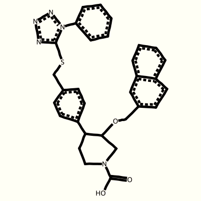 O=C(O)N1CCC(c2ccc(CSc3nnnn3-c3ccccc3)cc2)C(OCc2ccc3ccccc3c2)C1